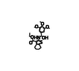 CCOC(=O)c1c(NC(O)c2cc(OC)c(OC)c(OC)c2)sc2c1CCCC2